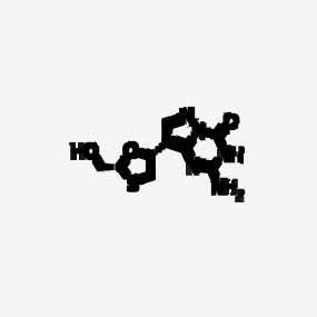 Nc1nc2c([C@@H]3CS[C@H](CO)O3)cnn2c(=O)[nH]1